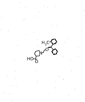 Cc1ccccc1C(=COCCN1CCCC(C(=O)O)C1)c1ccccc1